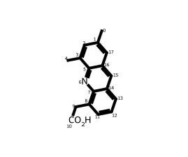 Cc1cc(C)c2nc3c(CC(=O)O)cccc3cc2c1